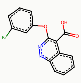 O=C(O)c1c(Oc2cccc(Br)c2)nnc2ccccc12